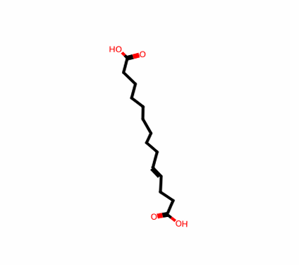 O=C(O)CCC=CCCCCCCCCC(=O)O